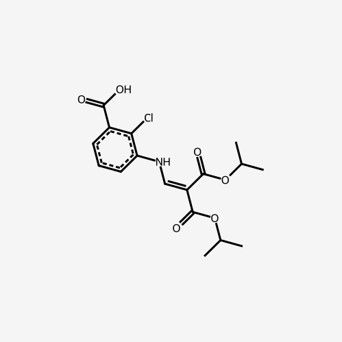 CC(C)OC(=O)C(=CNc1cccc(C(=O)O)c1Cl)C(=O)OC(C)C